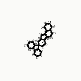 [C]1=CC(c2ccccc2)(c2ccccc2)C=C2C=c3c(ccc4ccccc34)=C12